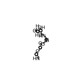 CNCc1cccc(OCc2ccc(C(=O)OCCn3cc(CNCC(O)c4ccc(O)c5[nH]c(=O)ccc45)cn3)cc2)c1